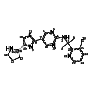 CC(C)(Nc1ncc(-c2nc([C@@H]3CCCN3)[c]s2)cn1)c1ncccc1F